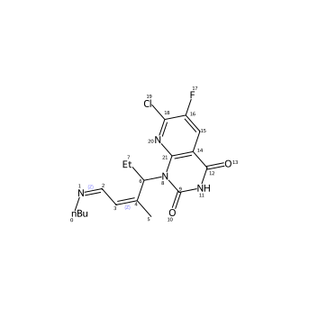 CCCC/N=C\C=C(\C)C(CC)n1c(=O)[nH]c(=O)c2cc(F)c(Cl)nc21